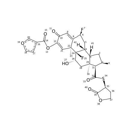 C[C@@H]1C[C@H]2[C@H]3C[C@H](F)C4=CC(=O)C(OC(=O)c5ccoc5)=C[C@]4(C)[C@@]3(F)[C@@H](O)C[C@]2(C)[C@@H]1C(=O)S[C@H]1CCOC1=O